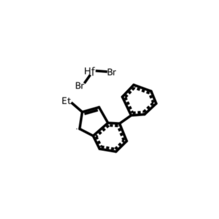 CCC1=Cc2c(cccc2-c2ccccc2)[CH]1.[Br][Hf][Br]